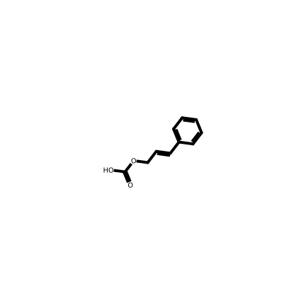 O=C(O)OCC=Cc1ccccc1